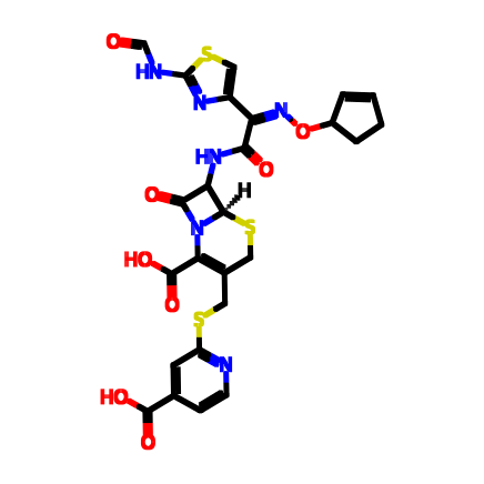 O=CNc1nc(/C(=N/OC2C=CCC2)C(=O)NC2C(=O)N3C(C(=O)O)=C(CSc4cc(C(=O)O)ccn4)CS[C@H]23)cs1